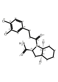 NC(=O)[C@@H]1C[C@@H]2CCCC[C@@H]2N1C(=O)CCc1ccc(Cl)c(Cl)c1